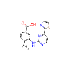 Cc1ccc(C(=O)O)cc1Nc1nccc(-c2nccs2)n1